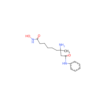 CC(N)(CCCCCC(=O)NO)CC(=O)Nc1ccccc1